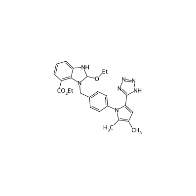 CCOC(=O)c1cccc2c1N(Cc1ccc(-n3c(-c4nnn[nH]4)cc(C)c3C)cc1)C(OCC)N2